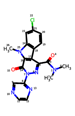 CN(C)C(=O)c1nn(-c2cnccn2)c(=O)c2c1c1ccc(Cl)cc1n2C